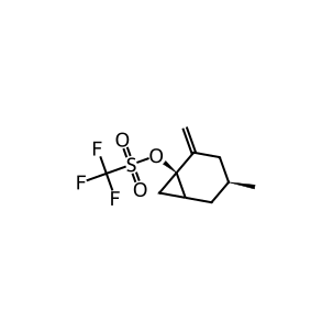 C=C1C[C@@H](C)CC2C[C@]12OS(=O)(=O)C(F)(F)F